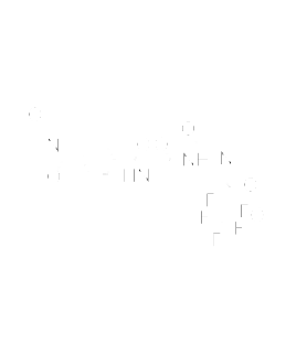 CCC/C(=C(/OC(C)=O)C(F)(F)C(F)(F)F)N1CCC[C@H]1C(=O)NC(=O)[C@@H](NC(=O)c1ccc(C(=O)N2CCOCC2)cc1)C(C)C